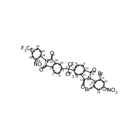 O=C1c2ccc(C(c3ccc4c(c3)C(=O)N(c3c(Br)cc([N+](=O)[O-])cc3Br)C4=O)(C(F)(F)F)C(F)(F)F)cc2C(=O)N1c1ccc(C(F)(F)F)cc1[N+](=O)[O-]